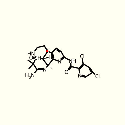 CC1(C)C(N)=N[C@](C)(c2nc(NC(=O)c3ncc(Cl)cc3Cl)ccc2F)[C@H]2CCCN[SH]21=O